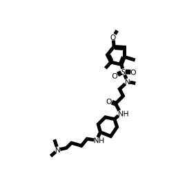 COc1cc(C)c(S(=O)(=O)N(C)CCC(=O)NC2CCC(NCCCCN(C)C)CC2)c(C)c1